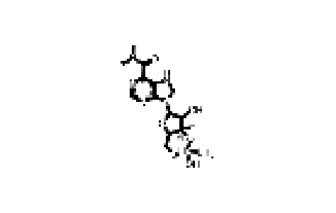 B[PH]1(O)OCC2OC(N3CNc4c(C(=O)N(C)C)ncnc43)C(O)[C@@H]2O1